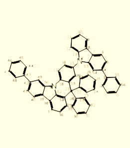 c1ccc(-c2ccc3c4ccccc4n(-c4ccc5c(c4)C(c4ccccc4)(c4ccccc4)c4cccc6c7ccc(-c8ccccc8)cc7n-5c46)c3c2)cc1